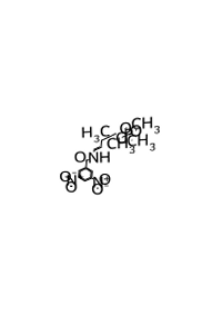 COP(C)(=O)OCC(C)(C)CC=CNC(=O)c1cc([N+](=O)[O-])cc([N+](=O)[O-])c1